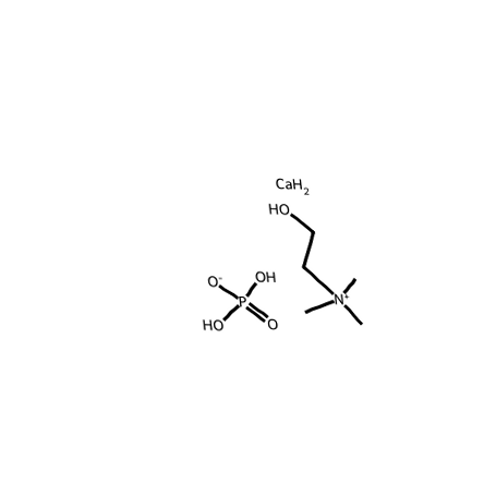 C[N+](C)(C)CCO.O=P([O-])(O)O.[CaH2]